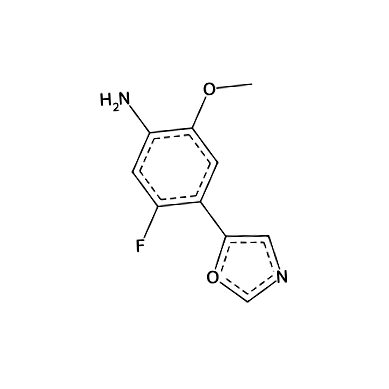 COc1cc(-c2cnco2)c(F)cc1N